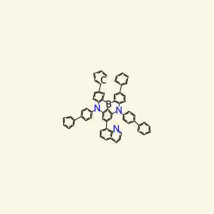 c1ccc(-c2ccc(N3c4ccc(-c5ccccc5)cc4B4c5cc(-c6ccccc6)ccc5N(c5ccc(-c6ccccc6)cc5)c5cc(-c6cccc7cccnc67)cc3c54)cc2)cc1